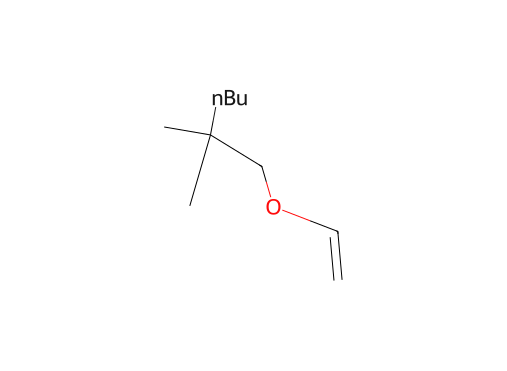 C=COCC(C)(C)CCCC